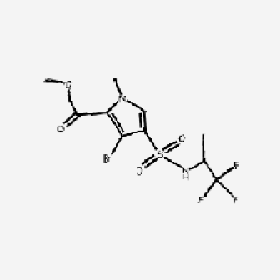 COC(=O)c1c(Br)c(S(=O)(=O)NC(C)C(F)(F)F)cn1C